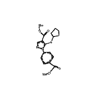 COC(=O)c1ccc(-n2ncc(C(=O)OC(C)(C)C)c2SC2CCCC2)cc1